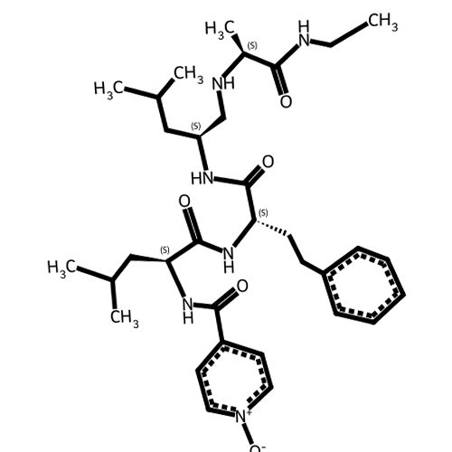 CCNC(=O)[C@H](C)NC[C@H](CC(C)C)NC(=O)[C@H](CCc1ccccc1)NC(=O)[C@H](CC(C)C)NC(=O)c1cc[n+]([O-])cc1